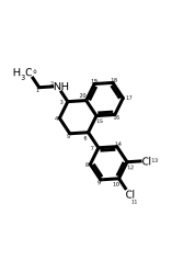 CCNC1CCC(c2ccc(Cl)c(Cl)c2)c2ccccc21